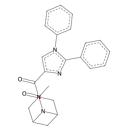 CC(=O)N1C2CC1CN(C(=O)c1cn(-c3ccccc3)c(-c3ccccc3)n1)C2